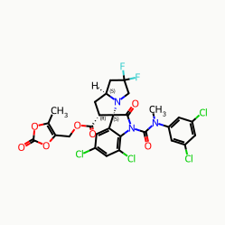 Cc1oc(=O)oc1COC(=O)[C@@H]1C[C@H]2CC(F)(F)CN2[C@@]12C(=O)N(C(=O)N(C)c1cc(Cl)cc(Cl)c1)c1c(Cl)cc(Cl)cc12